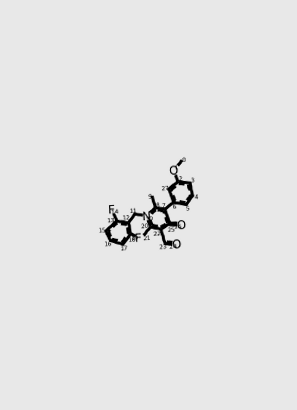 COc1cccc(-c2c(C)n(Cc3c(F)cccc3F)c(C)c(C=O)c2=O)c1